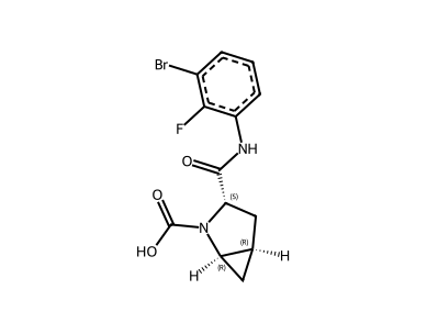 O=C(Nc1cccc(Br)c1F)[C@@H]1C[C@H]2C[C@H]2N1C(=O)O